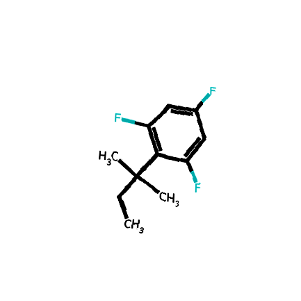 CCC(C)(C)c1c(F)cc(F)cc1F